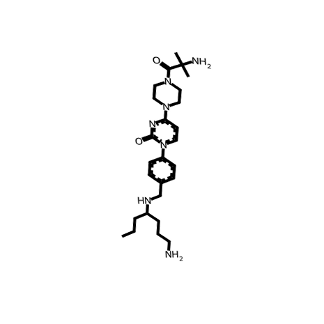 CCCC(CCCN)NCc1ccc(-n2ccc(N3CCN(C(=O)C(C)(C)N)CC3)nc2=O)cc1